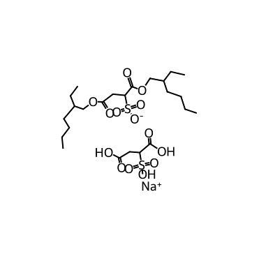 CCCCC(CC)COC(=O)CC(C(=O)OCC(CC)CCCC)S(=O)(=O)[O-].O=C(O)CC(C(=O)O)S(=O)(=O)O.[Na+]